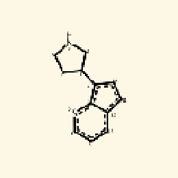 c1csc2c(C3CCNC3)ccc-2c1